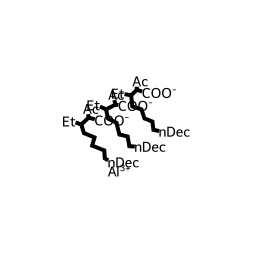 CCCCCCCCCCCCCCCC(CC)C(C(C)=O)C(=O)[O-].CCCCCCCCCCCCCCCC(CC)C(C(C)=O)C(=O)[O-].CCCCCCCCCCCCCCCC(CC)C(C(C)=O)C(=O)[O-].[Al+3]